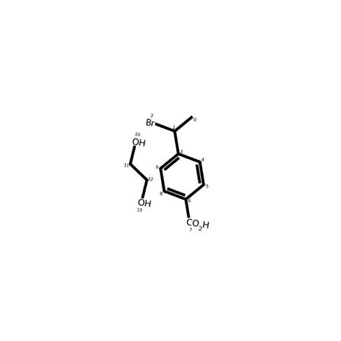 CC(Br)c1ccc(C(=O)O)cc1.OCCO